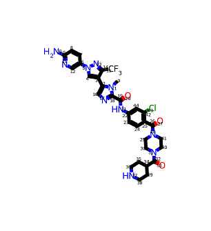 Cn1c(-c2cn(-c3ccc(N)nc3)nc2C(F)(F)F)cnc1C(=O)Nc1ccc(C(=O)N2CCN(C(=O)C3CCNCC3)CC2)c(Cl)c1